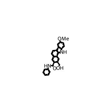 COc1ccc2[nH]c3c4cc(CO)c(C(=O)Nc5ccccc5)cc4ccc3c2c1